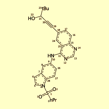 CCCS(=O)(=O)n1ccc2cc(Nc3ncnc4ccc(C#CC(O)C(C)(C)C)cc34)ccc21